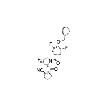 N#C[C@@H]1CCCN1C(=O)[C@@H]1C[C@H](F)CN1C(=O)c1cc(F)c(OCc2ccccc2)c(F)c1